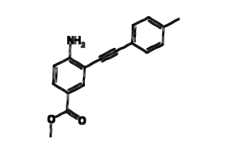 COC(=O)c1ccc(N)c(C#Cc2ccc(C)cc2)c1